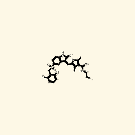 Cc1[nH]c(/C=C2\C(=O)Nc3ccc(S(=O)(=O)Cc4c(Cl)cccc4Cl)cc32)c(C)c1C(=O)NCCF